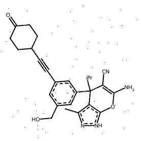 Cc1n[nH]c2c1C(c1cc(C#CC3CCC(=O)CC3)cc(CO)c1)(C(C)C)C(C#N)=C(N)O2